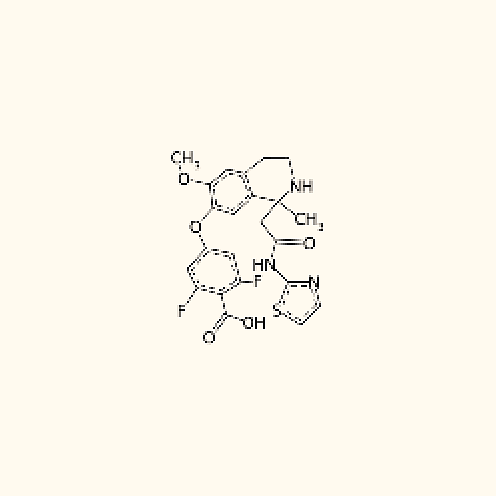 COc1cc2c(cc1Oc1cc(F)c(C(=O)O)c(F)c1)C(C)(CC(=O)Nc1nccs1)NCC2